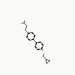 CC(=O)NC(C)CCc1ccc(-c2ccc(OCC3CC3)cc2)cc1